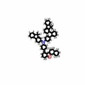 CC1(C)c2ccccc2-c2ccc(N(c3ccc(-c4ccccc4-c4cccc5c4C(C)(C)c4ccccc4-5)cc3)c3ccc(-c4cccc5oc6c7ccccc7ccc6c45)cc3)cc21